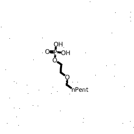 CCCCCCOCCOP(=O)(O)O